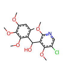 COc1cc(C)c(C(O)c2c(OC)ncc(Cl)c2OC)c(OC)c1OC